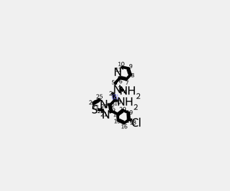 N/C(=C\N(N)Cc1ccccn1)c1c(-c2ccc(Cl)cc2)nc2sccn12